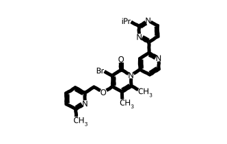 Cc1cccc(COc2c(C)c(C)n(-c3ccnc(-c4ccnc(C(C)C)n4)c3)c(=O)c2Br)n1